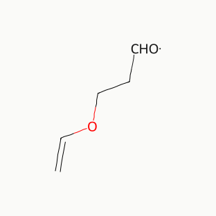 C=COCC[C]=O